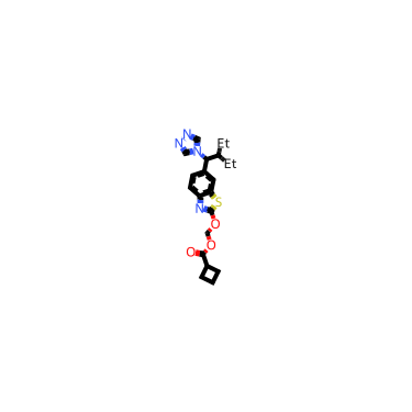 CCC(CC)C(c1ccc2nc(OCOC(=O)C3CCC3)sc2c1)n1cnnc1